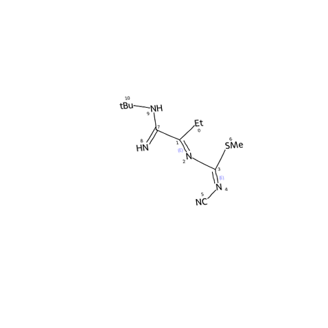 CC/C(=N\C(=N/C#N)SC)C(=N)NC(C)(C)C